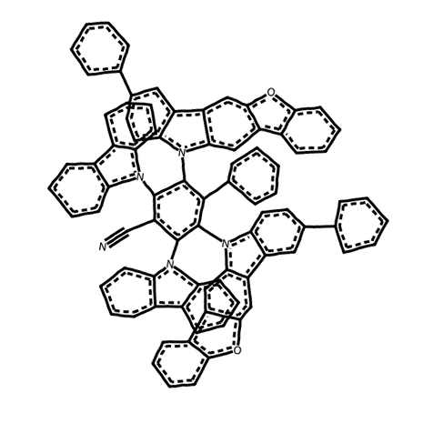 N#Cc1c(-n2c3ccccc3c3ccccc32)c(-n2c3ccc(-c4ccccc4)cc3c3cc4oc5ccccc5c4cc32)c(-c2ccccc2)c(-n2c3ccc(-c4ccccc4)cc3c3cc4oc5ccccc5c4cc32)c1-n1c2ccccc2c2ccccc21